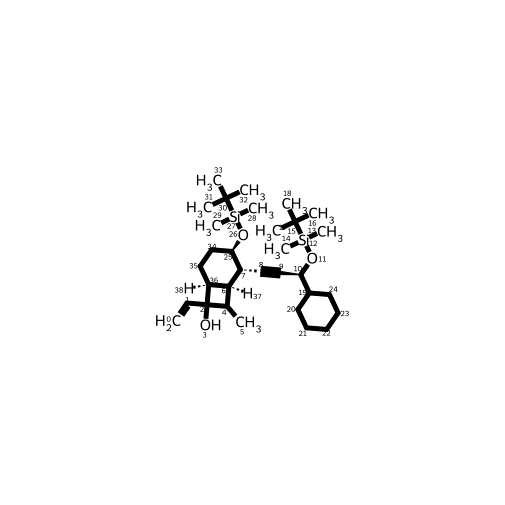 C=CC1(O)C(C)[C@@H]2[C@@H](C#C[C@@H](O[Si](C)(C)C(C)(C)C)C3CCCCC3)[C@H](O[Si](C)(C)C(C)(C)C)CC[C@@H]21